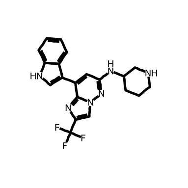 FC(F)(F)c1cn2nc(NC3CCCNC3)cc(-c3c[nH]c4ccccc34)c2n1